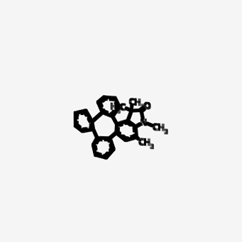 Cc1cc2c(c3c1N(C)C(=O)C3(C)C)-c1ccccc1-c1ccccc1-c1ccccc1-2